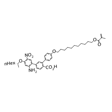 C=C(C)C(=O)OCCCCCCCCCCCOc1ccc(-c2cc(-c3cc([N+](=O)[O-])c(O[C@H](C)CCCCCC)cc3N)ccc2C(=O)O)cc1